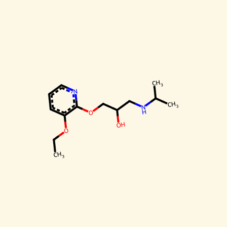 CCOc1cccnc1OCC(O)CNC(C)C